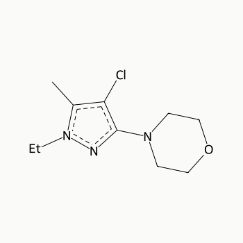 CCn1nc(N2CCOCC2)c(Cl)c1C